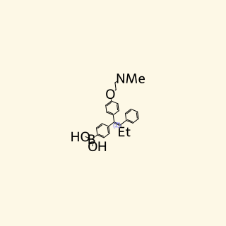 CC/C(=C(/c1ccc(OCCNC)cc1)c1ccc(B(O)O)cc1)c1ccccc1